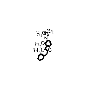 CCN(C)C=Nc1ccc2oc(Cc3ccccc3)c(C)c2c1C